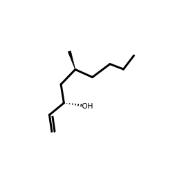 [CH]=C[C@@H](O)C[C@@H](C)CCCC